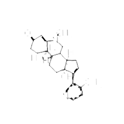 Cc1ccncc1C1=CC[C@H]2[C@@H]3CN(C)C4=CC(=O)CC[C@]4(C)[C@H]3CC[C@]12C